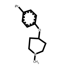 CC(C)c1ccc(OC2CCN(C)CC2)cc1